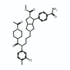 COC(=O)N1CC2CN(CCCN(C(=O)C3CCN(C(C)=O)CC3)c3ccc(C)c(Cl)c3)CC2C1c1ccc(C(N)=O)cc1